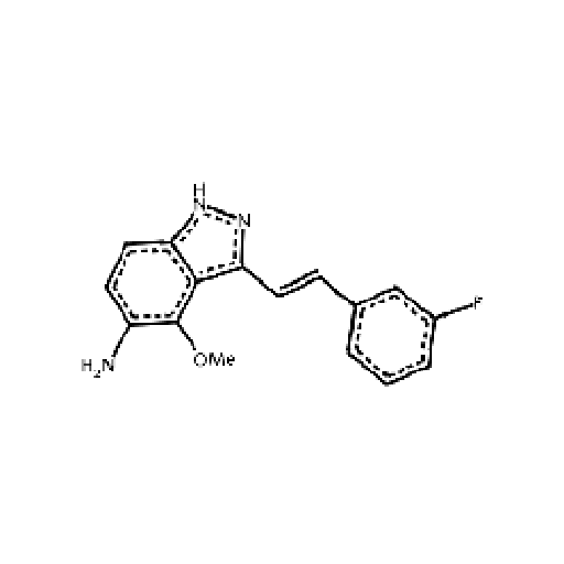 COc1c(N)ccc2[nH]nc(/C=C/c3cccc(F)c3)c12